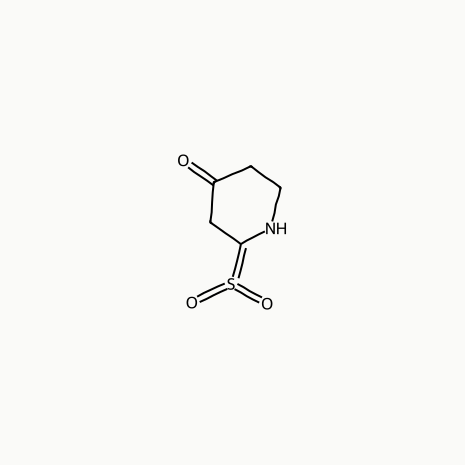 O=C1CCNC(=S(=O)=O)C1